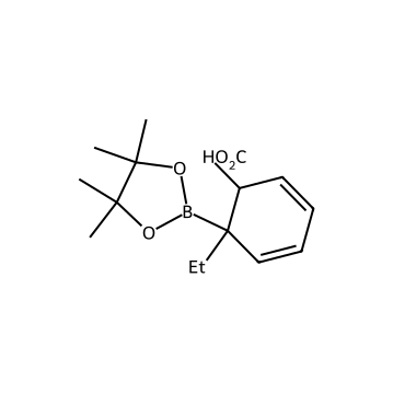 CCC1(B2OC(C)(C)C(C)(C)O2)C=CC=CC1C(=O)O